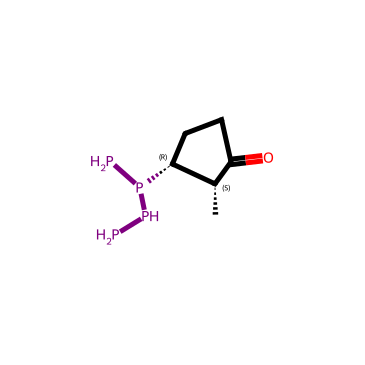 C[C@H]1C(=O)CC[C@H]1P(P)PP